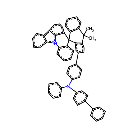 CC1(C)c2ccccc2C2(c3ccccc3-n3c4ccccc4c4cccc2c43)c2cc(-c3ccc(N(c4ccccc4)c4ccc(-c5ccccc5)cc4)cc3)ccc21